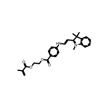 C=C(C)C(=O)OCCOC(=O)c1ccc(N/C=C/C2=[N+](C)c3ccccc3C2(C)C)cc1